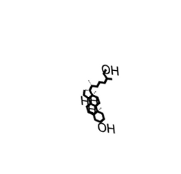 CC(CO)CCC[C@@H](C)[C@H]1CC[C@H]2[C@@H]3CC=C4CC(O)CC[C@]4(C)[C@H]3CC[C@]12C